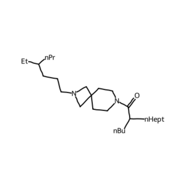 CCCCCCCC(CCCC)C(=O)N1CCC2(CC1)CN(CCCC(CC)CCC)C2